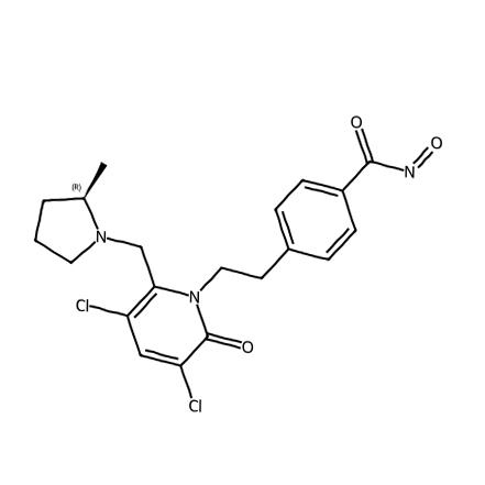 C[C@@H]1CCCN1Cc1c(Cl)cc(Cl)c(=O)n1CCc1ccc(C(=O)N=O)cc1